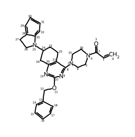 C=CC(=O)N1CCN(c2nc(OCc3ccccc3)nc3c2CCC(N2CCc4ccccc42)C3)CC1